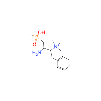 C[N+](C)(C)C(Cc1ccccc1)C(N)CP(C)(=O)O